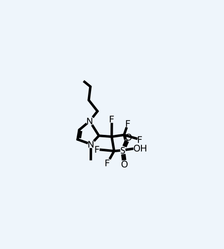 CCCCN1C=CN(C)C1C(F)(C(F)(F)F)C(F)(F)S(=O)(=O)O